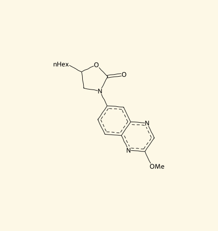 CCCCCCC1CN(c2ccc3nc(OC)cnc3c2)C(=O)O1